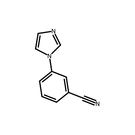 N#Cc1cccc(-n2ccnc2)c1